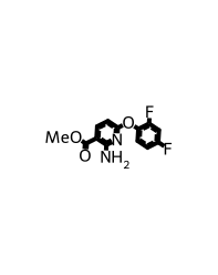 COC(=O)c1ccc(Oc2ccc(F)cc2F)nc1N